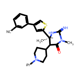 CC(C)N1CCC(C2C(=O)N(C)C(=N)N[C@]2(C)c2cc(-c3cccc(C#N)c3)cs2)CC1